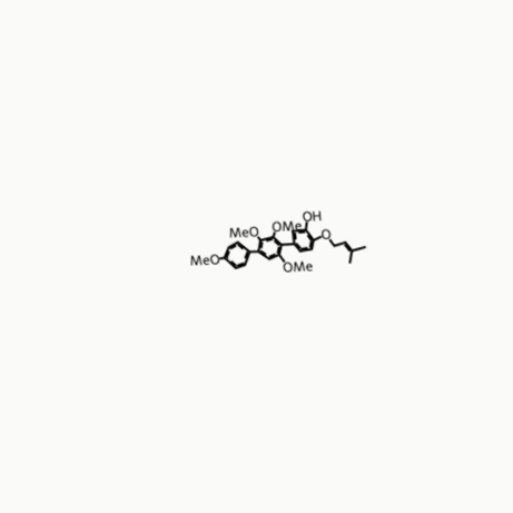 COc1ccc(-c2cc(OC)c(-c3ccc(OCC=C(C)C)c(O)c3)c(OC)c2OC)cc1